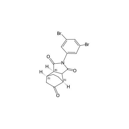 O=C1C[C@@H]2CC[C@H]1C1C(=O)N(c3cc(Br)cc(Br)c3)C(=O)[C@@H]12